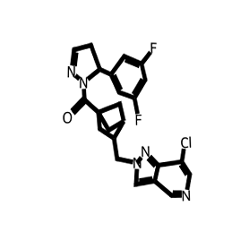 O=C(N1N=CCC1c1cc(F)cc(F)c1)C12CC(Cn3cc4cncc(Cl)c4n3)C(C1)C2